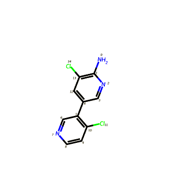 Nc1ncc(-c2cnccc2Cl)cc1Cl